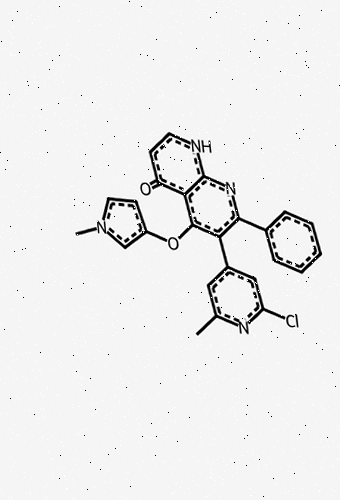 Cc1cc(-c2c(-c3ccccc3)nc3[nH]ccc(=O)c3c2Oc2ccn(C)c2)cc(Cl)n1